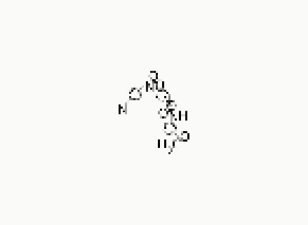 CC(=O)c1cccc(NC(=O)ON2CCC3(CC2)CN(Cc2ccc(C#N)cc2)C(=O)O3)c1